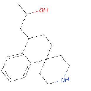 CC(O)CC1CCC2(CCNCC2)c2ccccc21